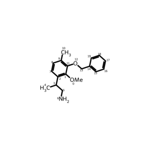 COc1c(C(C)CN)ccc(C)c1OCc1ccccc1